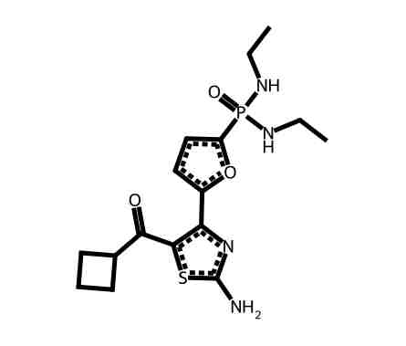 CCNP(=O)(NCC)c1ccc(-c2nc(N)sc2C(=O)C2CCC2)o1